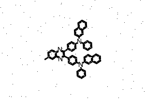 Cc1ccc2nc(-c3ccc(N(c4ccccc4)c4ccc5ccccc5c4)cc3)c(-c3ccc(N(c4ccccc4)c4ccc5ccccc5c4)cc3)nc2c1